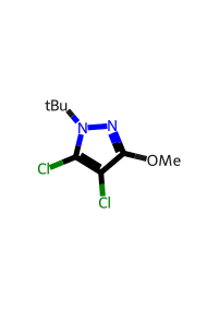 COc1nn(C(C)(C)C)c(Cl)c1Cl